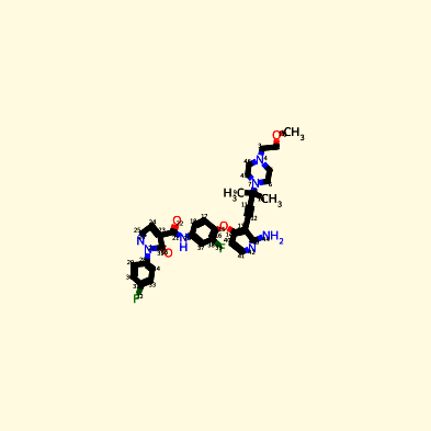 COCCN1CCN(C(C)(C)C#Cc2c(Oc3ccc(NC(=O)c4ccnn(-c5ccc(F)cc5)c4=O)cc3F)ccnc2N)CC1